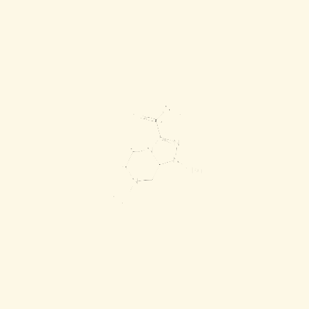 CC(C)(C)N1N=C(C(N)=S)N2CCN(C(=O)O)CC21